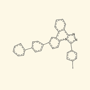 Ic1ccc(-c2nnc3c4ccccc4c4cc(-c5ccc(-c6ccccc6)cc5)ccc4n23)cc1